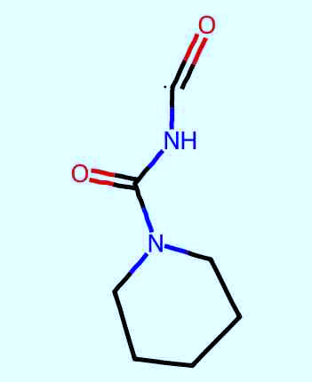 O=[C]NC(=O)N1CCCCC1